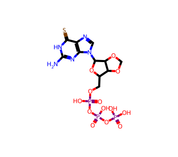 Nc1nc2c(ncn2C2OC(COP(=O)(O)OP(=O)(O)OP(=O)(O)O)C3OCOC32)c(=S)[nH]1